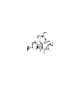 C=C[C@H]1C[C@H]2C(=O)N(C)C(=C)N[C@@]2(c2ccc(F)cc2F)CO1